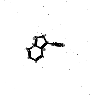 N#[N+]c1snc2ncccc12